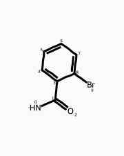 [NH]C(=O)c1ccccc1Br